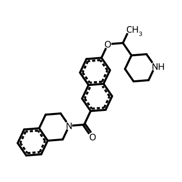 CC(Oc1ccc2cc(C(=O)N3CCc4ccccc4C3)ccc2c1)C1CCCNC1